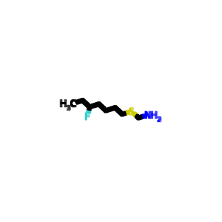 CCC(F)CCCCSCN